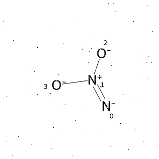 [N-]=[N+]([O-])[O-]